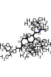 CC[Si](CC)(CC)OCCC1CC[C@@H]2OC(C(/C=C/I)O[Si](C)(C)C(C)(C)C)C(O[Si](C)(C)C(C)(C)C)C(O[Si](C)(C)C(C)(C)C)C2O1